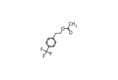 CC(=O)OCCc1ccc(C(F)(F)F)cc1